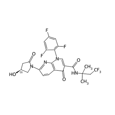 CC(C)(CC(F)(F)F)NC(=O)c1cn(-c2c(F)cc(F)cc2F)c2nc(N3C[C@@H](O)CC3=O)ccc2c1=O